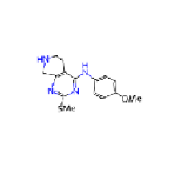 COc1ccc(Nc2nc(SC)nc3c2CCNC3)cc1